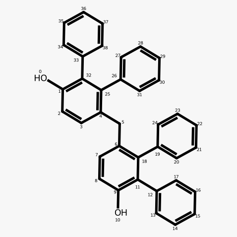 Oc1ccc(Cc2ccc(O)c(-c3ccccc3)c2-c2ccccc2)c(-c2ccccc2)c1-c1ccccc1